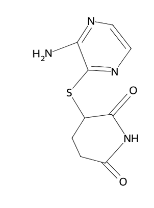 Nc1nccnc1SC1CCC(=O)NC1=O